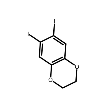 Ic1cc2c(cc1I)OCCO2